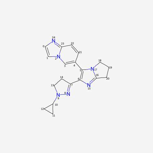 c1cn2cc(-c3c(C4=NN(C5CC5)CC4)nc4n3CCC4)ccc2n1